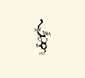 CCCN/C=C(\C=N)Oc1c(F)cc(CO)cc1F